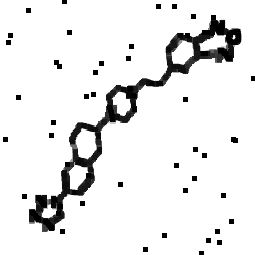 c1cc2nonc2cc1CCN1CCN(C2CCc3cc(-n4cnnn4)ccc3C2)CC1